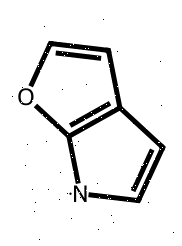 C1=Cc2ccoc2[N]1